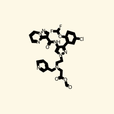 O=COC(=O)CN(CCn1cc(NC(=O)c2cnn3cccnc23)c(-c2cc(Cl)ccc2OC(F)F)n1)Cc1cccnc1